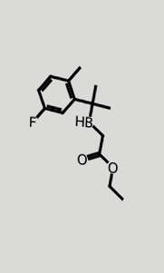 CCOC(=O)CBC(C)(C)c1cc(F)ccc1C